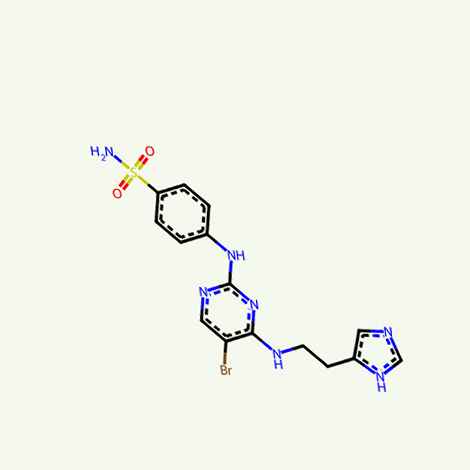 NS(=O)(=O)c1ccc(Nc2ncc(Br)c(NCCc3cnc[nH]3)n2)cc1